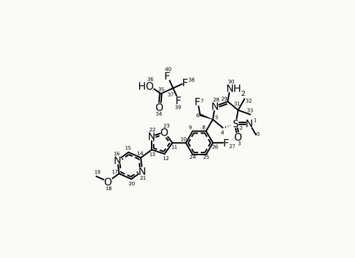 CN=[S@]1(=O)C[C@](CF)(c2cc(-c3cc(-c4cnc(OC)cn4)no3)ccc2F)N=C(N)C1(C)C.O=C(O)C(F)(F)F